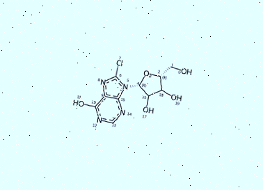 OC[C@H]1O[C@@H](n2c(Cl)nc3c(O)ncnc32)C(O)C1O